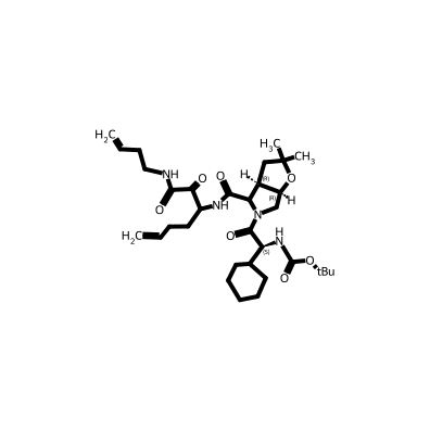 C=CCCNC(=O)C(=O)C(CCC=C)NC(=O)C1[C@H]2CC(C)(C)O[C@H]2CN1C(=O)[C@@H](NC(=O)OC(C)(C)C)C1CCCCC1